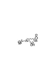 COc1ccc2nccc(CCC[C@@H]3CCN(CCCSc4cccnn4)C[C@@H]3CCC(=O)O)c2c1